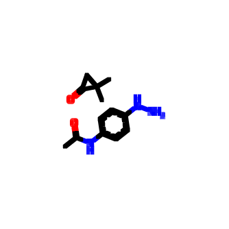 CC(=O)Nc1ccc(NN)cc1.CC1(C)CC1=O